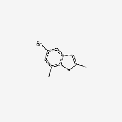 CC1=Cc2cc(Br)cc(C)c2C1